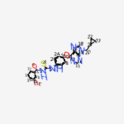 O=C(NC(=S)Nc1ccc(Oc2ncnc3c2ncn3CC2CC2)cc1)c1cccc(Br)c1